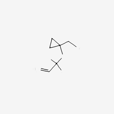 C=CC(C)(C)SC1(CBr)CC1